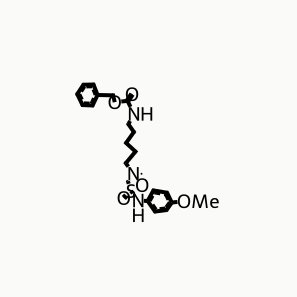 COc1ccc(NS(=O)(=O)C[N]CCCCCNC(=O)OCc2ccccc2)cc1